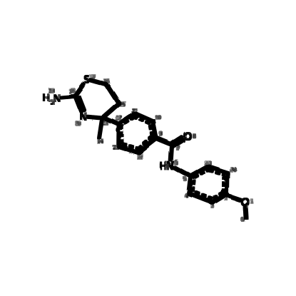 COc1ccc(NC(=O)c2ccc(C3(C)CCSC(N)=N3)cc2)cc1